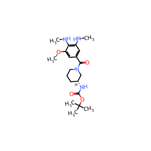 CNc1cc(C(=O)N2CCC[C@@H](NC(=O)OC(C)(C)C)C2)cc(OC)c1NC